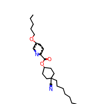 CCCCCCCC1(C#N)CCC(OC(=O)c2ccc(OCCCCC)cn2)CC1